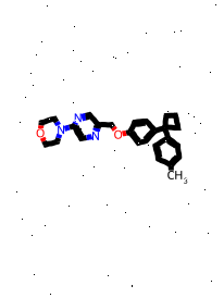 Cc1ccc(C2(c3ccc(OCc4cnc(N5CCOCC5)cn4)cc3)CCC2)cc1